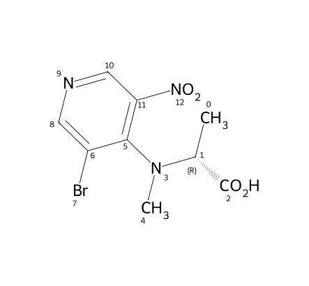 C[C@H](C(=O)O)N(C)c1c(Br)cncc1[N+](=O)[O-]